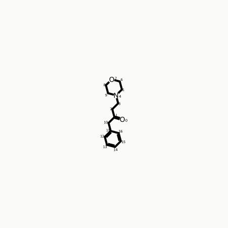 O=C(CCN1CCOCC1)Cc1ccccc1